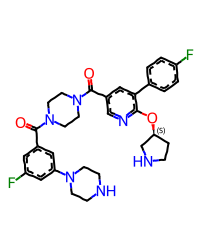 O=C(c1cc(F)cc(N2CCNCC2)c1)N1CCN(C(=O)c2cnc(O[C@H]3CCNC3)c(-c3ccc(F)cc3)c2)CC1